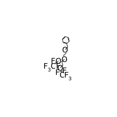 FC(F)(F)C(F)(F)OCC(OCCOCc1ccccc1)OC(F)(F)C(F)(F)F